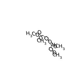 CCOC(=O)/C(=C/c1ccc(OCC(=NOC)c2cccc(OC)c2)cc1)OCC